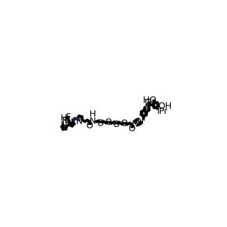 CC(C)c1cc(C(=O)N2Cc3ccc(CN4CCN(C(=O)CCOCCOCCOCCOCCNC(=O)CCC5=N/C(=C\c6ccc(-c7ccc[nH]7)n6B(F)F)C=C5)CC4)cc3C2)c(O)cc1O